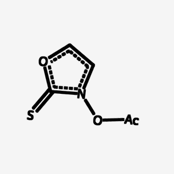 CC(=O)On1ccoc1=S